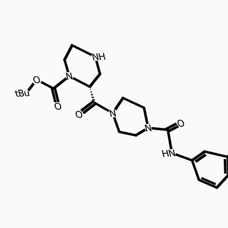 CC(C)(C)OC(=O)N1CCNC[C@@H]1C(=O)N1CCN(C(=O)Nc2ccc(Cl)c(Cl)c2)CC1